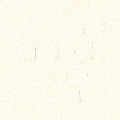 CC(C)(C)/C=C/C(c1ccc2c(c1)OCO2)C(F)(F)C(=O)c1ccccc1